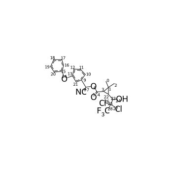 CC1(C)C(C(=O)OC(C#N)c2cccc(Oc3ccccc3)c2)C1C(O)C(Cl)(Cl)C(F)(F)F